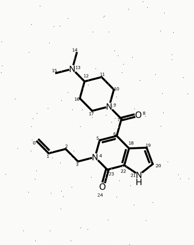 C=CCCn1cc(C(=O)N2CCC(N(C)C)CC2)c2cc[nH]c2c1=O